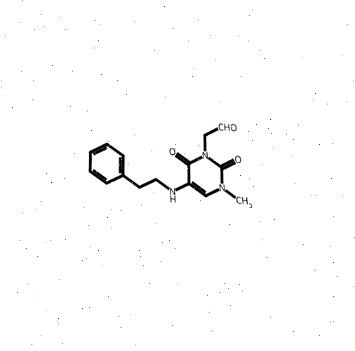 Cn1cc(NCCc2ccccc2)c(=O)n(CC=O)c1=O